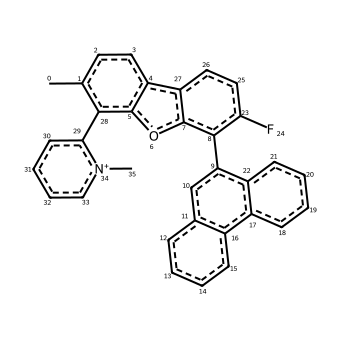 Cc1ccc2c(oc3c(-c4cc5ccccc5c5ccccc45)c(F)ccc32)c1-c1cccc[n+]1C